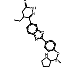 CCC1CC(=O)NN=C1c1ccc2nc(-c3ccc(O[C@@H](C)C4CCCN4)cc3)oc2c1